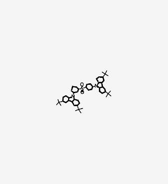 CC(C)(C)c1ccc2c(c1)c1cc(C(C)(C)C)ccc1n2-c1ccc(S(=O)(=O)c2cccc(-n3c4ccc(C(C)(C)C)cc4c4cc(C(C)(C)C)ccc43)c2)cc1